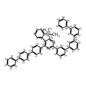 C[Si]1(C)c2ccccc2-c2c(-c3ccc(-c4ccc(-c5ccccc5)cc4)cc3)nc(-c3cccc(-c4cccc(-c5cccc(-c6ccccc6)c5)c4)c3)nc21